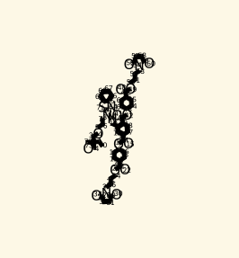 CCC1(COCCCN(/N=C/c2cc(C(=O)OC3CCC(C(=O)OCCCCN4C(=O)C=CC4=O)CC3)ccc2C(=O)OC2CCC(C(=O)OCCCCN3C(=O)C=CC3=O)CC2)c2nc3ccccc3s2)COC1